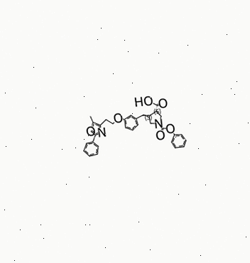 Cc1oc(-c2ccccc2)nc1CCOc1cccc(C[C@@H]2CN(C(=O)Oc3ccccc3)C[C@H]2C(=O)O)c1